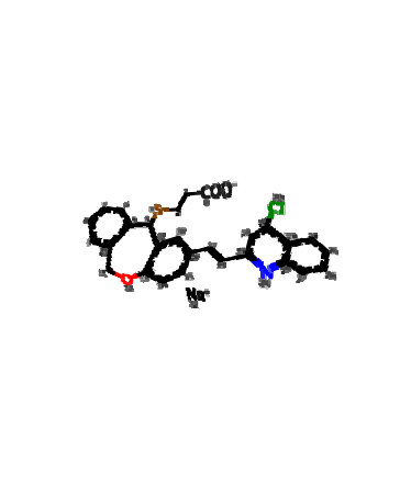 O=C([O-])CCSC1c2ccccc2COc2ccc(C=Cc3cc(Cl)c4ccccc4n3)cc21.[Na+]